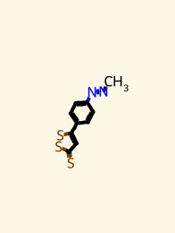 CN=Nc1ccc(-c2cc(=S)ss2)cc1